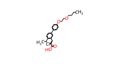 CCCCOCCOc1ccc(-c2ccc(C(C)C)c(/C=C/C(=O)O)c2)cc1